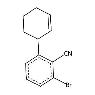 N#Cc1c(Br)cccc1C1C=CCCC1